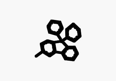 Cc1ccc2c(c1)-c1ccccc1S2(c1ccccc1)c1ccccc1